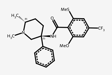 COc1cc(C(F)(F)F)cc(SC)c1C(=O)N[C@]1(c2ccccc2)CC[C@@H](C)N(C)C1